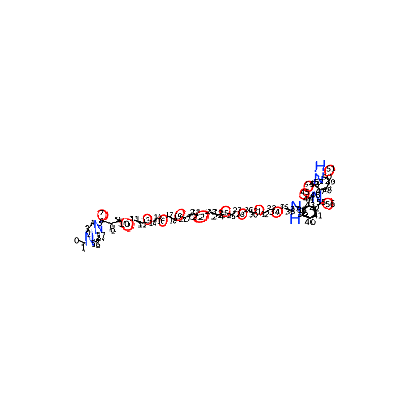 CCN1CCN(C(=O)CCOCCOCCOCCOCCOCCOCCOCCOCCOCCNc2cccc3c2C(=O)N(C2CCC(=O)NC2=O)C3=O)CC1